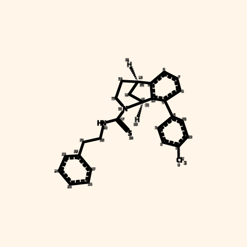 FC(F)(F)c1ccc(-c2cccc3c2[C@@H]2C[C@H]3CCN2C(=S)NCCc2ccccc2)cc1